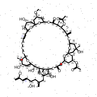 C=C(Cl)/C=C/[C@@H](O)CC(=C)C[C@H]1O[C@@H]2[C@H](C)[C@@H](CC(=O)C[C@H]3C[C@H](OC(C)=O)C[C@@]4(C[C@@](C)(O)C[C@](C)(CC(=C)[C@@H](C)C(OC(C)=O)[C@H](C)C(=O)C[C@@H]5C[C@H](OC)CC6(C[C@@H](O)C[C@H](/C=C\CCC[C@H]7O[C@](O)(C[C@H](O)[C@H]7C)[C@H]2O)O6)O5)O4)O3)[C@@H]1O